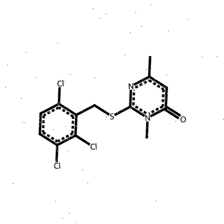 Cc1cc(=O)n(C)c(SCc2c(Cl)ccc(Cl)c2Cl)n1